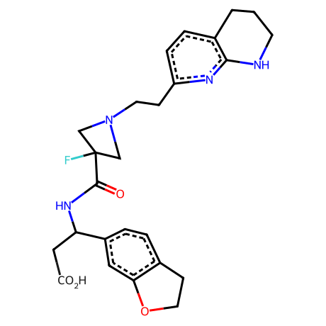 O=C(O)CC(NC(=O)C1(F)CN(CCc2ccc3c(n2)NCCC3)C1)c1ccc2c(c1)OCC2